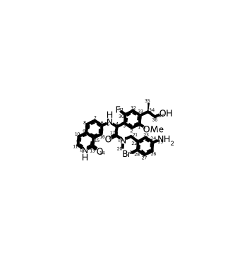 COc1cc(C(Nc2ccc3cc[nH]c(=O)c3c2)C(=O)N(C)Cc2cc(N)ccc2Br)c(F)cc1[C@@H](C)CO